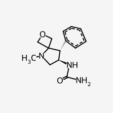 CN1C[C@H](NC(N)=O)[C@@H](c2ccccc2)C12COC2